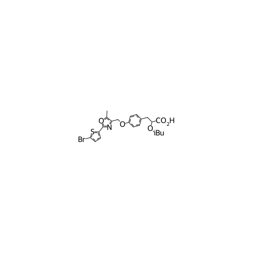 CCC(C)OC(Cc1ccc(OCc2nc(-c3ccc(Br)s3)oc2C)cc1)C(=O)O